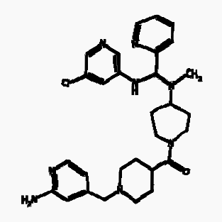 CN(C1CCN(C(=O)C2CCN(Cc3ccnc(N)c3)CC2)CC1)C(Nc1cncc(Cl)c1)c1ccccn1